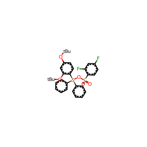 CC(C)(C)Oc1ccc(S(OS(=O)(=O)c2ccc(F)cc2F)(c2ccccc2)c2ccccc2)c(OC(C)(C)C)c1